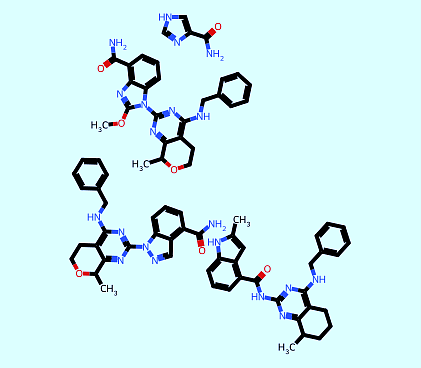 CC1OCCc2c(NCc3ccccc3)nc(-n3ncc4c(C(N)=O)cccc43)nc21.COc1nc2c(C(N)=O)cccc2n1-c1nc(NCc2ccccc2)c2c(n1)C(C)OCC2.Cc1cc2c(C(=O)Nc3nc(NCc4ccccc4)c4c(n3)C(C)CCC4)cccc2[nH]1.NC(=O)c1c[nH]cn1